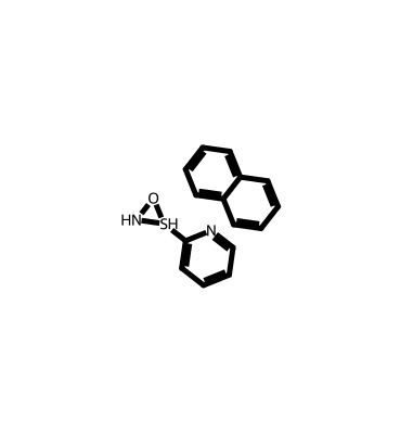 c1ccc([SH]2NO2)nc1.c1ccc2ccccc2c1